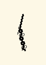 CCCCCCCCCCOc1ccc(C(=O)Oc2ccc(-c3ccc(C(=O)O[C@H](C)CC)cc3)cc2)c(F)c1